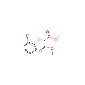 COC(=O)C(Sc1ccccc1Cl)C(=O)OC